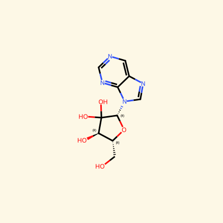 OC[C@H]1O[C@@H](n2cnc3cncnc32)C(O)(O)[C@@H]1O